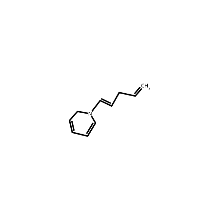 C=CCC=CN1C=CC=CC1